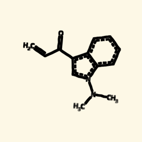 C=CC(=O)c1cn(N(C)C)c2ccccc12